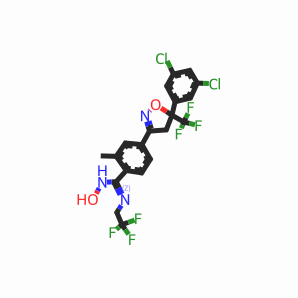 Cc1cc(C2=NOC(c3cc(Cl)cc(Cl)c3)(C(F)(F)F)C2)ccc1/C(=N/CC(F)(F)F)NO